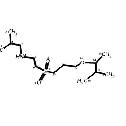 CC(C)CNCCS(=O)(=O)CCCOC(C)C(C)C